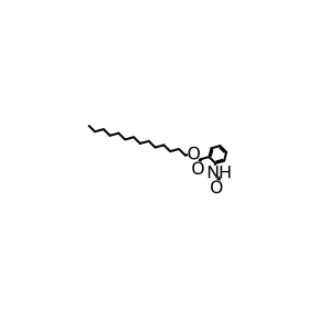 CCCCCCCCCCCCCCOC(=O)c1ccccc1NC=O